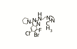 Cc1nccn1CCNc1nc(N2CCCCC2)c2cc(Cl)c(Br)c(F)c2n1